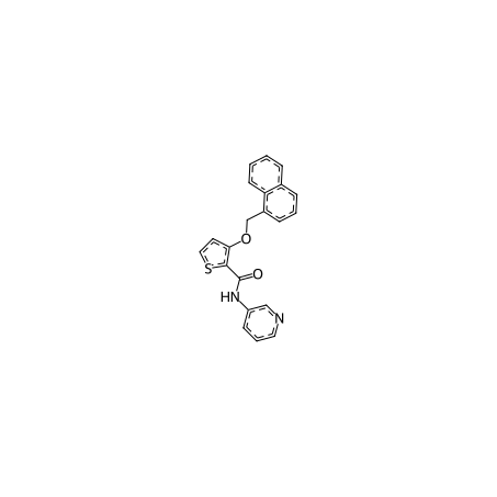 O=C(Nc1cccnc1)c1sccc1OCc1cccc2ccccc12